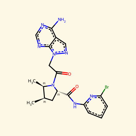 C[C@@H]1C[C@@H](C(=O)Nc2cccc(Br)n2)N(C(=O)Cn2ncc3c(N)ncnc32)[C@@H]1C